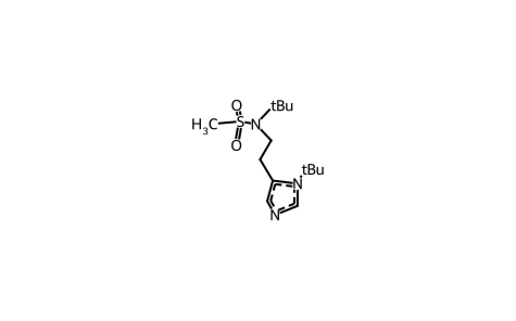 CC(C)(C)N(CCc1cncn1C(C)(C)C)S(C)(=O)=O